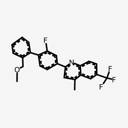 COCc1ccccc1-c1ccc(-c2cc(C)c3cc(C(F)(F)F)ccc3n2)cc1F